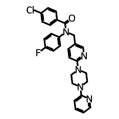 O=C(c1ccc(Cl)cc1)N(Cc1ccc(N2CCN(c3ccccn3)CC2)nc1)c1ccc(F)cc1